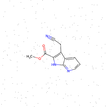 COC(=O)c1[nH]c2ncccc2c1CC#N